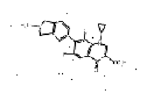 CN1Cc2ccc(-c3c(F)cc4c(=O)c(C(=O)O)cn(C5CC5)c4c3Cl)cc2C1